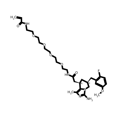 C=CC(=O)NCCOCCOCCOCCOCCNC(=O)C[C@H]1C[C@@H](Cc2cc(OC)ccc2F)Cn2c(N)nc(C)c21